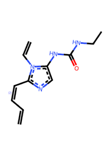 C=C/C=C\c1ncc(NC(=O)NCC)n1C=C